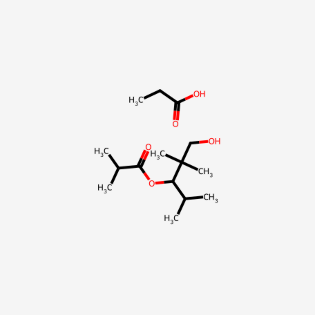 CC(C)C(=O)OC(C(C)C)C(C)(C)CO.CCC(=O)O